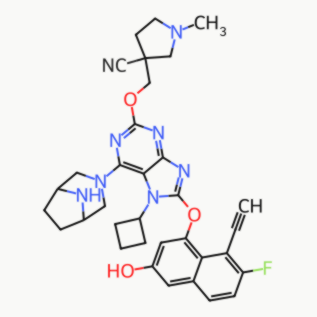 C#Cc1c(F)ccc2cc(O)cc(Oc3nc4nc(OCC5(C#N)CCN(C)C5)nc(N5CC6CCC(C5)N6)c4n3C3CCC3)c12